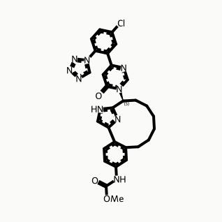 COC(=O)Nc1ccc2c(c1)CCCCCC[C@H](n1cnc(-c3cc(Cl)ccc3-n3cnnn3)cc1=O)c1nc-2c[nH]1